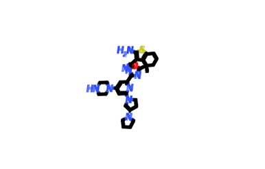 CC1(c2nc(-c3cc(N4CCNCC4)cc(N4CC[C@H](N5CCCC5)C4)n3)no2)CCCc2sc(N)c(C#N)c21